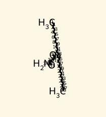 CCCCCCCCCCCCCCN(CCCCCCCCCCCCCC)C(=O)CCC(N)=O